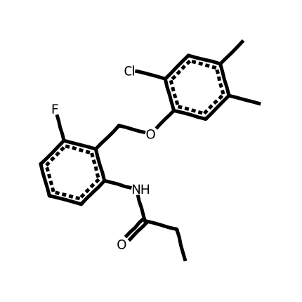 CCC(=O)Nc1cccc(F)c1COc1cc(C)c(C)cc1Cl